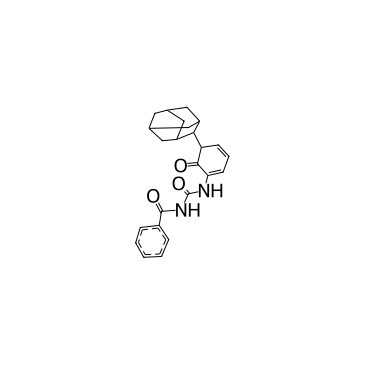 O=C(NC(=O)c1ccccc1)NC1=CC=CC(C2C3CC4CC(C3)CC2C4)C1=O